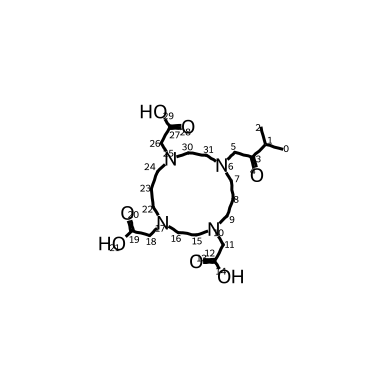 CC(C)C(=O)CN1CCCN(CC(=O)O)CCN(CC(=O)O)CCCN(CC(=O)O)CC1